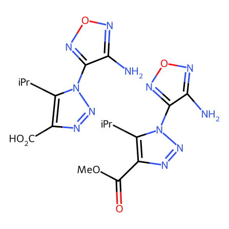 CC(C)c1c(C(=O)O)nnn1-c1nonc1N.COC(=O)c1nnn(-c2nonc2N)c1C(C)C